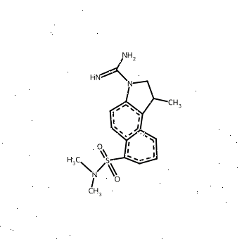 CC1CN(C(=N)N)c2ccc3c(S(=O)(=O)N(C)C)cccc3c21